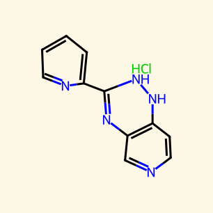 Cl.c1ccc(C2=Nc3cnccc3NN2)nc1